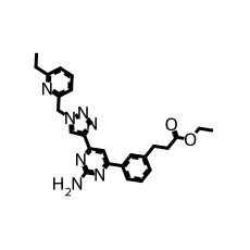 CCOC(=O)CCc1cccc(-c2cc(-c3cn(Cc4cccc(CC)n4)nn3)nc(N)n2)c1